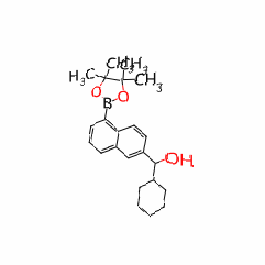 CC1(C)OB(c2cccc3cc(C(O)C4CCCCC4)ccc23)OC1(C)C